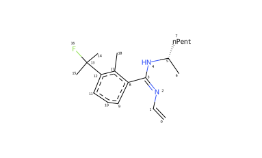 C=C/N=C(/N[C@@H](C)CCCCC)c1cccc(C(C)(C)F)c1C